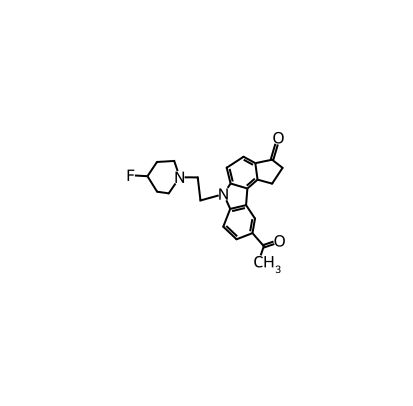 CC(=O)c1ccc2c(c1)c1c3c(ccc1n2CCN1CCC(F)CC1)C(=O)CC3